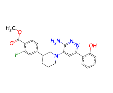 COC(=O)c1ccc(C2CCCN(c3cc(-c4ccccc4O)nnc3N)C2)cc1F